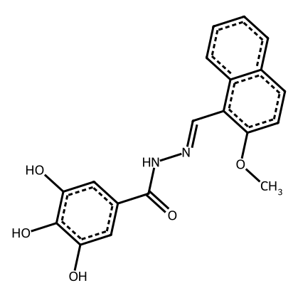 COc1ccc2ccccc2c1/C=N/NC(=O)c1cc(O)c(O)c(O)c1